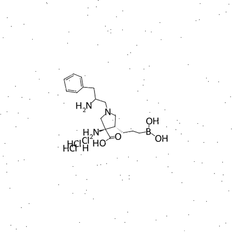 Cl.Cl.Cl.NC(Cc1ccccc1)CN1C[C@H](CCCB(O)O)[C@](N)(C(=O)O)C1